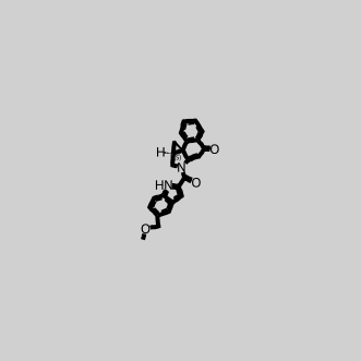 COCc1ccc2[nH]c(C(=O)N3C[C@H]4C[C@@]45C3=CC(=O)c3ccccc35)cc2c1